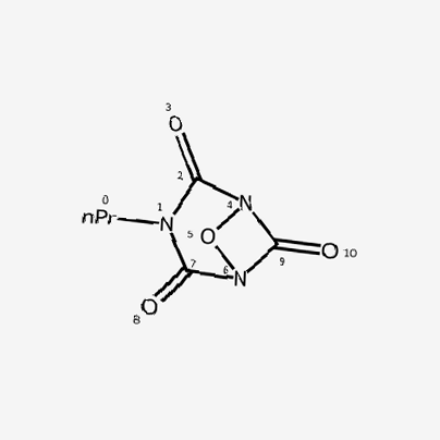 CCCn1c(=O)n2on(c1=O)c2=O